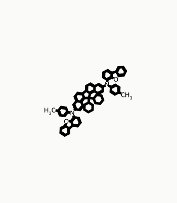 Cc1ccc(N(c2ccc3c4c(ccc3c2)-c2ccc3cc(N(c5ccc(C)cc5)c5cccc6c5oc5ccccc56)ccc3c2C4(C2CCCCC2)C2CCCCC2)c2cccc3c2oc2ccccc23)cc1